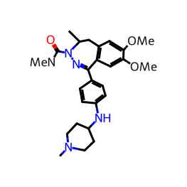 CNC(=O)N1N=C(c2ccc(NC3CCN(C)CC3)cc2)c2cc(OC)c(OC)cc2CC1C